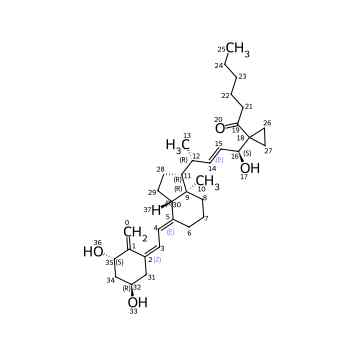 C=C1/C(=C\C=C2/CCC[C@]3(C)[C@@H]([C@H](C)/C=C/[C@H](O)C4(C(=O)CCCCC)CC4)CC[C@@H]23)C[C@@H](O)C[C@@H]1O